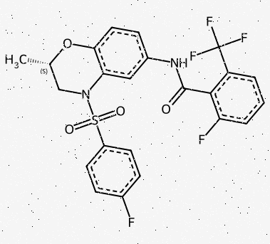 C[C@H]1CN(S(=O)(=O)c2ccc(F)cc2)c2cc(NC(=O)c3c(F)cccc3C(F)(F)F)ccc2O1